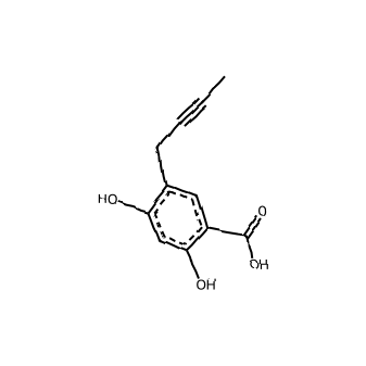 CC#CCc1cc(C(=O)O)c(O)cc1O